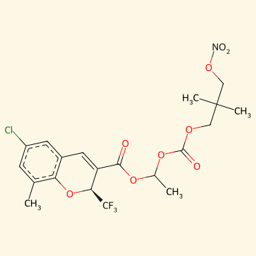 Cc1cc(Cl)cc2c1O[C@H](C(F)(F)F)C(C(=O)OC(C)OC(=O)OCC(C)(C)CO[N+](=O)[O-])=C2